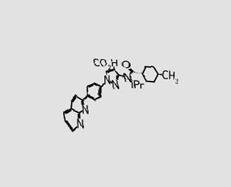 CC(C)N(c1nn(-c2ccc(-c3ccc4cccnc4n3)cc2)cc1C(=O)O)C(=O)[C@H]1CC[C@H](C)CC1